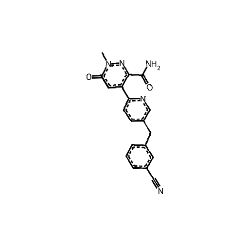 Cn1nc(C(N)=O)c(-c2ccc(Cc3cccc(C#N)c3)cn2)cc1=O